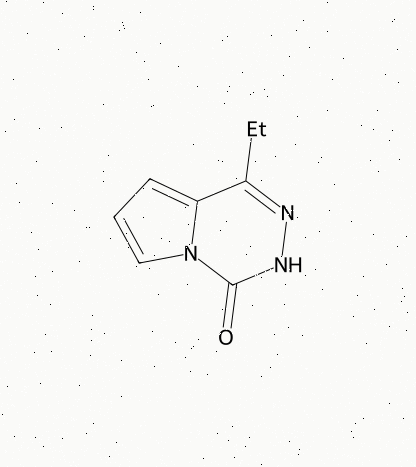 CCc1n[nH]c(=O)n2cccc12